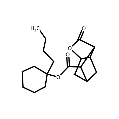 CCCCC1(OC(=O)C2C3[CH]C4OC(=O)C2C4C3)CCCCC1